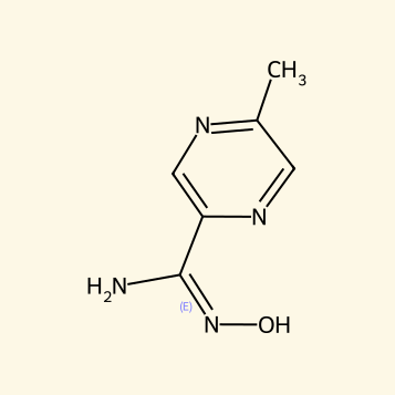 Cc1cnc(/C(N)=N\O)cn1